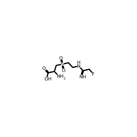 N=C(CF)NCCS(=O)(=O)CC(N)C(=O)O